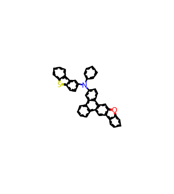 c1ccc(N(c2ccc3sc4ccccc4c3c2)c2ccc3c(c2)c2ccccc2c2cc4c(cc32)oc2ccccc24)cc1